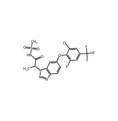 CC(C(=O)NS(C)(=O)=O)n1nnc2ccc(Oc3c(F)cc(C(F)(F)F)cc3Cl)cc21